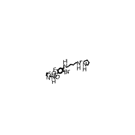 O=S(=O)(Nc1nccs1)c1cc(Br)c(NCCCCNC[C@@H]2CCCN2)cc1F